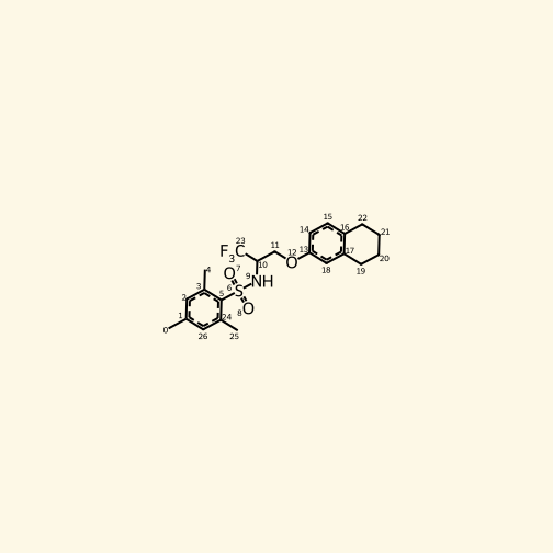 Cc1cc(C)c(S(=O)(=O)NC(COc2ccc3c(c2)CCCC3)C(F)(F)F)c(C)c1